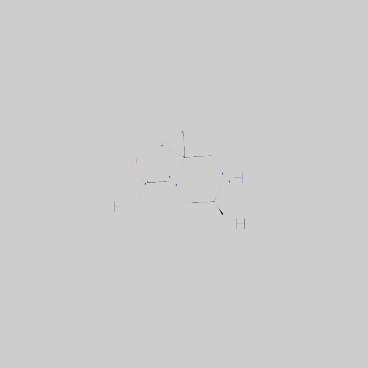 C[C@H]1CN(C(=O)C(F)(F)F)C2(CC2)CN1